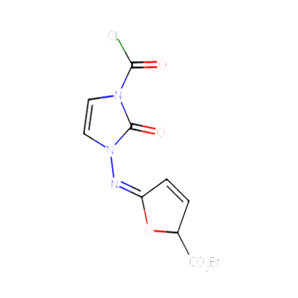 CCOC(=O)C1C=CC(=Nn2ccn(C(=O)Cl)c2=O)O1